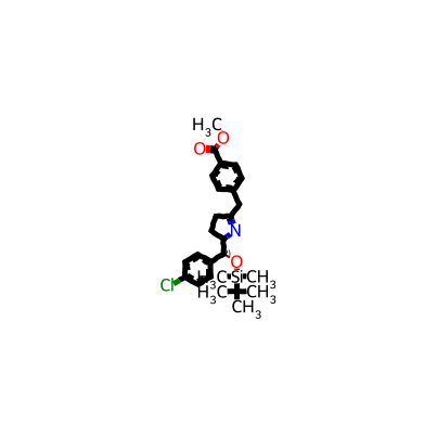 COC(=O)c1ccc(CC2=NC([C@H](O[Si](C)(C)C(C)(C)C)c3ccc(Cl)cc3)CC2)cc1